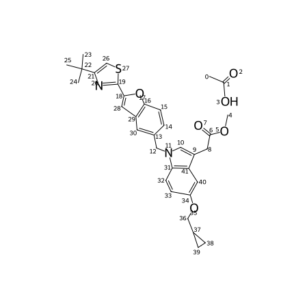 CC(=O)O.COC(=O)Cc1cn(Cc2ccc3oc(-c4nc(C(C)(C)C)cs4)cc3c2)c2ccc(OCC3CC3)cc12